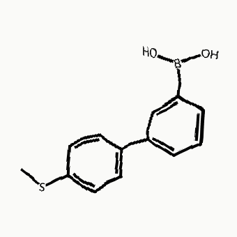 CSc1ccc(-c2cccc(B(O)O)c2)cc1